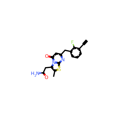 C#Cc1cccc(Cc2cc(=O)n3c(CC(N)=O)c(C)sc3n2)c1F